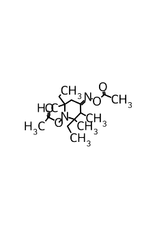 CCC1(C)C/C(=N/OC(C)=O)C(C)C(C)(CC)N1OC(C)=O